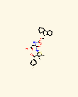 Cc1sc(NC(=O)C(CC(=O)O)NC(=O)OCC2c3ccccc3-c3ccccc32)c(C(=O)c2ccc(Br)cc2)c1C